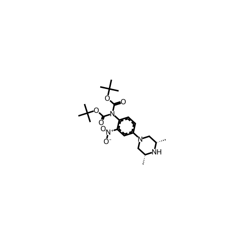 C[C@@H]1CN(c2ccc(N(C(=O)OC(C)(C)C)C(=O)OC(C)(C)C)c([N+](=O)[O-])c2)C[C@H](C)N1